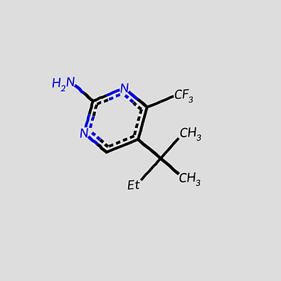 CCC(C)(C)c1cnc(N)nc1C(F)(F)F